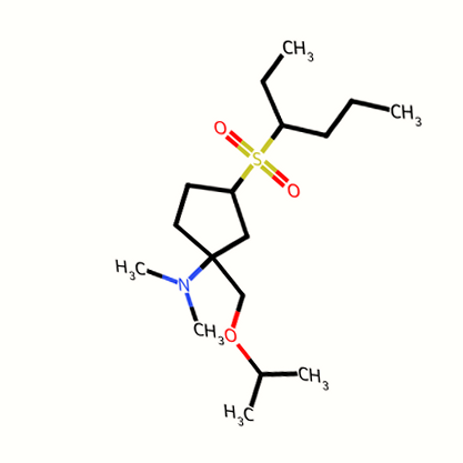 CCCC(CC)S(=O)(=O)C1CCC(COC(C)C)(N(C)C)C1